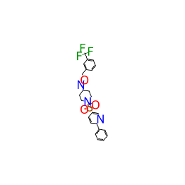 O=S(=O)(c1ccc(-c2ccccc2)nc1)N1CCC(=NOCc2cccc(C(F)(F)F)c2)CC1